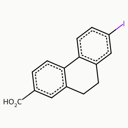 O=C(O)c1ccc2c(c1)CCc1cc(I)ccc1-2